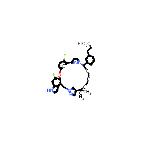 CCOC(=O)CCc1cccc(C2CCCCCC(C)(C)c3cnn(c3)Cc3c(c(F)cc4[nH]ccc34)Oc3ccc(F)c(c3)-c3ccn2n3)c1